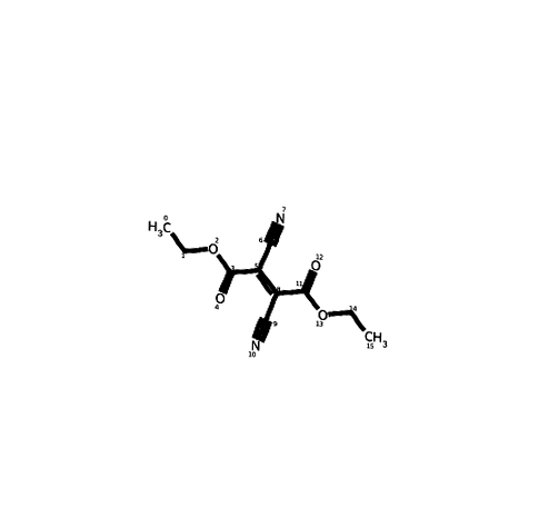 CCOC(=O)/C(C#N)=C(\C#N)C(=O)OCC